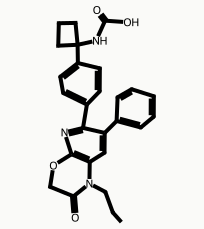 CCCN1C(=O)COc2nc(-c3ccc(C4(NC(=O)O)CCC4)cc3)c(-c3ccccc3)cc21